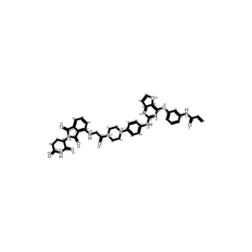 C=CC(=O)Nc1cccc(Oc2nc(Nc3ccc(N4CCN(C(=O)CNc5cccc6c5C(=O)N(C5CCC(=O)NC5=O)C6=O)CC4)cc3)nc3ccoc23)c1